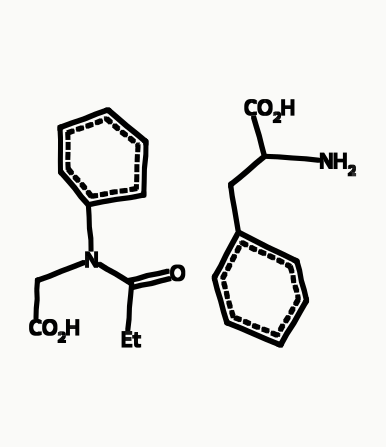 CCC(=O)N(CC(=O)O)c1ccccc1.NC(Cc1ccccc1)C(=O)O